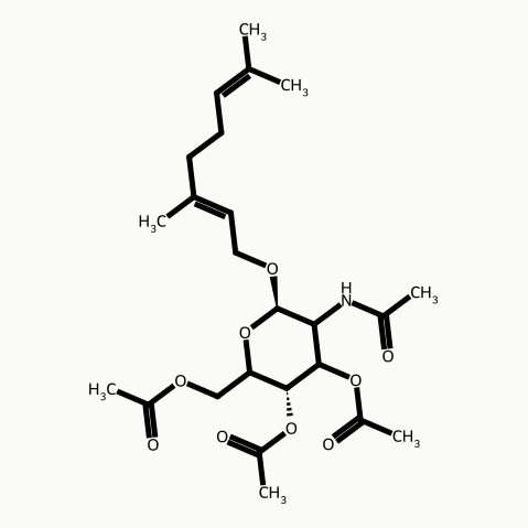 CC(=O)NC1C(OC(C)=O)[C@H](OC(C)=O)C(COC(C)=O)O[C@H]1OC/C=C(\C)CCC=C(C)C